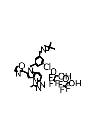 Cc1nnc2ccc3c(cc(-c4ncco4)n3Cc3cc(Cl)cc(CN4CC(C)(C)C4)c3)n12.O=C(O)C(F)(F)F.O=C(O)C(F)(F)F